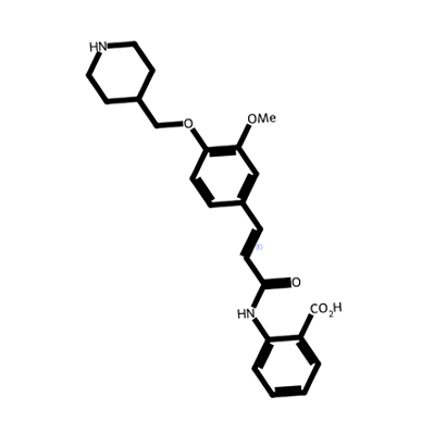 COc1cc(/C=C/C(=O)Nc2ccccc2C(=O)O)ccc1OCC1CCNCC1